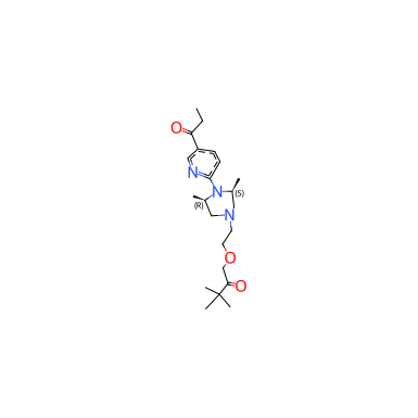 CCC(=O)c1ccc(N2[C@H](C)CN(CCOCC(=O)C(C)(C)C)C[C@@H]2C)nc1